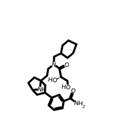 NC(=O)c1cccc(C2CC3CCC(CCN(CC4CCCCC4)C(=O)[C@@H](O)CO)(C2)N3)c1